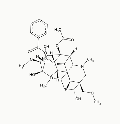 COC[C@]12CN(C)C3[C@@H]4[C@H](OC)[C@H]1[C@@]3([C@@H](OC)C[C@H]2O)[C@@H]1C[C@@]2(O)[C@H](OC(=O)c3ccccc3)[C@@H]1[C@]4(OC(C)=O)[C@@H](O)[C@@H]2OC